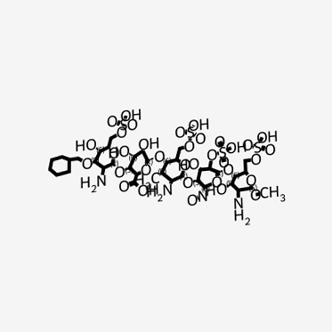 CO[C@H]1OC(COS(=O)(=O)O)[C@@H](O[C@@H]2O[C@@H](N=O)[C@@H](O[C@H]3OC(COS(=O)(=O)O)[C@@H](O[C@@H]4OC(C(=O)O)[C@@H](O[C@H]5OC(COS(=O)(=O)O)[C@@H](O)[C@H](OCC6CCCCC6)C5N)[C@H](O)C4O)[C@H](C)C3N)C(O)C2OS(=O)(=O)O)[C@H](O)C1N